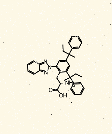 CCC(C)(c1ccccc1)c1cc(-n2nc3ccccc3n2)c(C[C@H](N)C(=O)O)c(C(C)(CC)c2ccccc2)c1